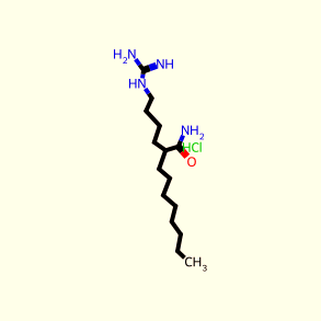 CCCCCCCCC(CCCCNC(=N)N)C(N)=O.Cl